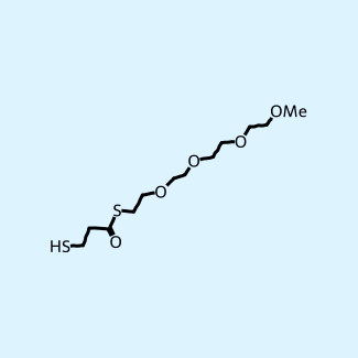 COCCOCCOCCOCCSC(=O)CCS